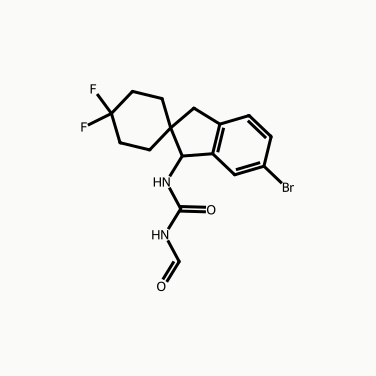 O=CNC(=O)NC1c2cc(Br)ccc2CC12CCC(F)(F)CC2